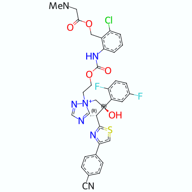 CNCC(=O)OCc1c(Cl)cccc1NC(=O)OCC[N+]1(C[C@](O)(c2cc(F)ccc2F)[C@@H](C)c2nc(-c3ccc(C#N)cc3)cs2)C=NC=N1